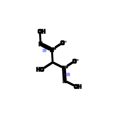 [O-]/[N+](=N\O)C(O)/[N+]([O-])=N/O